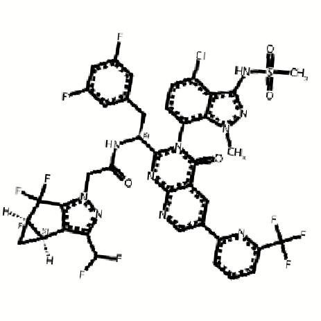 Cn1nc(NS(C)(=O)=O)c2c(Cl)ccc(-n3c([C@H](Cc4cc(F)cc(F)c4)NC(=O)Cn4nc(C(F)F)c5c4C(F)(F)[C@@H]4C[C@H]54)nc4ncc(-c5cccc(C(F)(F)F)n5)cc4c3=O)c21